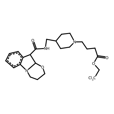 O=C(CCCN1CCC(CNC(=O)C2c3ccccc3N3CCCOC23)CC1)OCC(Cl)(Cl)Cl